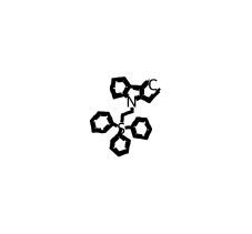 c1ccc(S(CCn2c3ccccc3c3ccccc32)(c2ccccc2)c2ccccc2)cc1